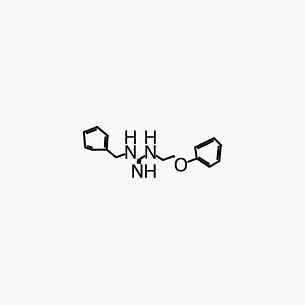 N=C(NCCOc1ccccc1)NCc1ccccc1